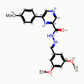 CCOc1cc(C=NNC(=O)c2cncc(-c3ccc(OC)cc3)n2)cc(OCC)c1